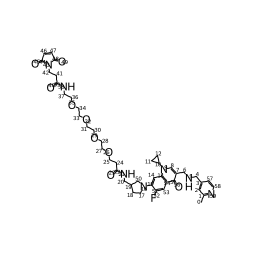 Cc1cc(CNCc2cn(C3CC3)c3cc(N4CCC(CNC(=O)CCOCCOCCOCCOCCNC(=O)CCN5C(=O)C=CC5=O)C4)c(F)cc3c2=O)ccn1